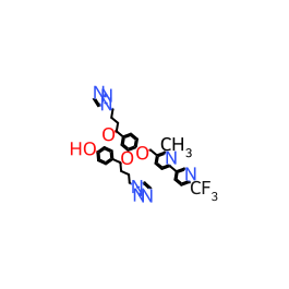 Cc1nc(-c2ccc(C(F)(F)F)nc2)ccc1COc1ccc(C(=O)CCCn2ccnn2)cc1.O=C(CCCn1ccnn1)c1ccc(O)cc1